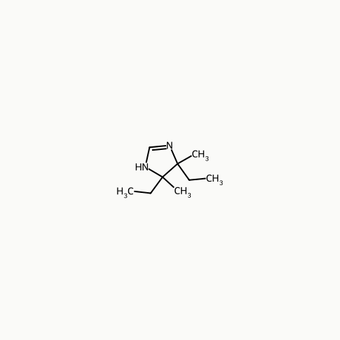 CCC1(C)N=CNC1(C)CC